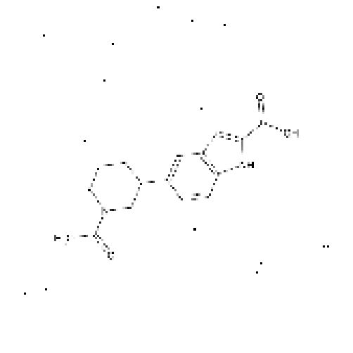 CC(=O)N1CCCC(c2ccc3[nH]c(C(=O)O)cc3c2)C1